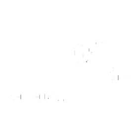 CCCCCCOCC[C@H]1[C@@H](CSCCCCC(=O)N(C)O)[C@H]2CC[C@@H]1O2